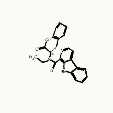 CCN(C(=O)c1nccc2c1[nH]c1ccccc12)[C@@H](Cc1ccccc1)C(=O)O